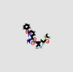 CC(C)SC(=O)C(F)=C[C@H]1[C@@H](C(=O)O[C@@H](C#N)c2cccc(Oc3ccccc3)n2)C1(C)C